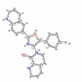 O=c1c2ncccc2ccn1-c1nc(-c2ccc3ncccc3c2)oc1-c1ccc(F)cc1